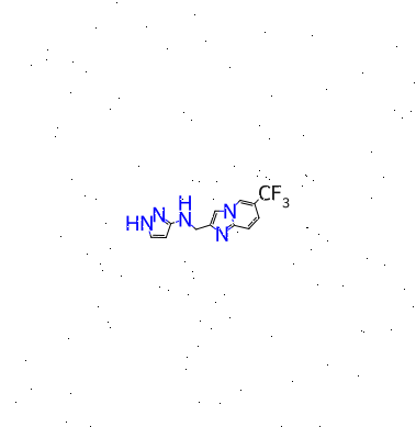 FC(F)(F)c1ccc2nc(CNc3cc[nH]n3)cn2c1